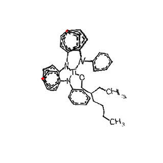 CCCCC(CC)C[O][Ti]([N](c1ccccc1)c1ccccc1)([N](c1ccccc1)c1ccccc1)[N](c1ccccc1)c1ccccc1